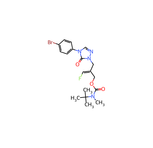 CN(C(=O)OCC(=CF)Cn1ncn(-c2ccc(Br)cc2)c1=O)C(C)(C)C